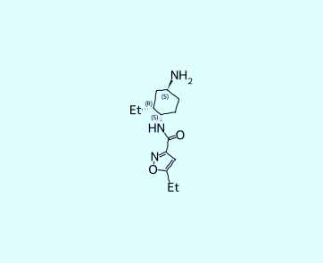 CCc1cc(C(=O)N[C@H]2CC[C@H](N)C[C@H]2CC)no1